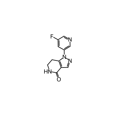 O=C1NCCc2c1cnn2-c1cncc(F)c1